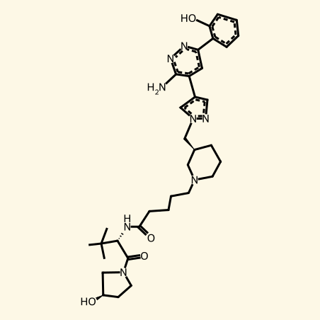 CC(C)(C)[C@H](NC(=O)CCCCN1CCC[C@H](Cn2cc(-c3cc(-c4ccccc4O)nnc3N)cn2)C1)C(=O)N1CC[C@@H](O)C1